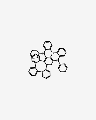 c1ccc(N2c3ccccc3B3c4ccccc4N(c4ccccc4)c4c3c2cc2c4-c3ccccc3-c3ccccc3-c3ccccc3-2)cc1